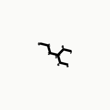 CCC[C](CC)CC